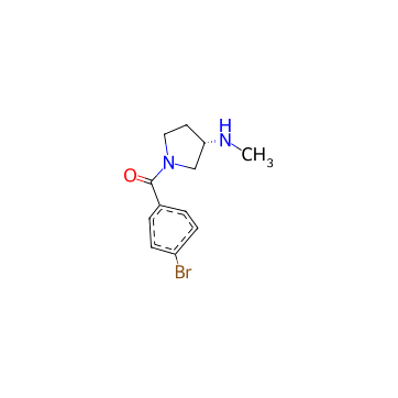 CN[C@H]1CCN(C(=O)c2ccc(Br)cc2)C1